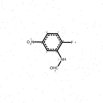 O=[C]Nc1cc([N+](=O)[O-])ccc1F